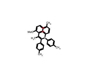 COc1ccccc1/C(C)=C(\B(c1ccc(C)cc1)c1ccc(C)cc1)c1ccc(C)cc1